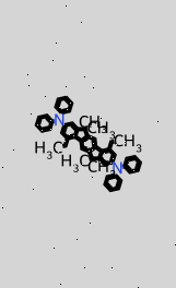 CCc1cc(N(c2ccccc2)c2ccccc2)cc2c1-c1cc3c(cc1C2(C)C)-c1c(CC)cc(N(c2ccccc2)c2ccccc2)cc1C3(C)C